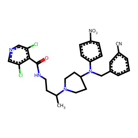 CC(CCNC(=O)c1c(Cl)cncc1Cl)N1CCC(N(Cc2cccc(C#N)c2)c2ccc([N+](=O)[O-])cc2)CC1